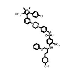 Cc1c(C(=O)O)c(-c2cccc(N3CCN(c4ccc(NS(=O)(=O)c5ccc(NC(CCN6CCC(O)CC6)CSc6ccccc6)c([N+](=O)[O-])c5)cc4)CC3)c2)c(-c2ccc(Cl)cc2)n1C